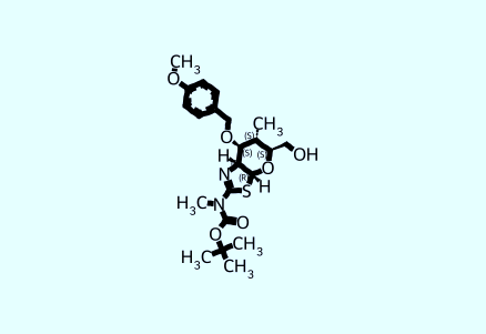 COc1ccc(CO[C@H]2[C@H](C)[C@@H](CO)O[C@@H]3SC(N(C)C(=O)OC(C)(C)C)=N[C@H]23)cc1